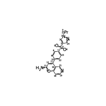 CCCn1cc(S(=O)(=O)c2ccc(C(=CC(N)=O)c3cccnc3)cc2)cn1